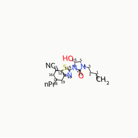 C=CCCN1CC(O)N(c2nc3c(s2)C(C#N)CC(CCC)C3)C1=O